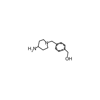 NC1CCN(Cc2ccc(CO)cc2)CC1